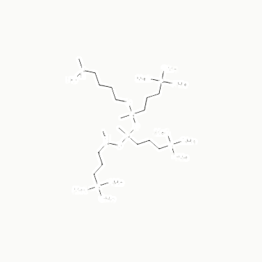 CO[Si](CCC[SiH](C)O[Si](C)(CCC[Si](OC)(OC)OC)O[Si](C)(CCC[Si](OC)(OC)OC)OCCCC[SiH](C)O)(OC)OC